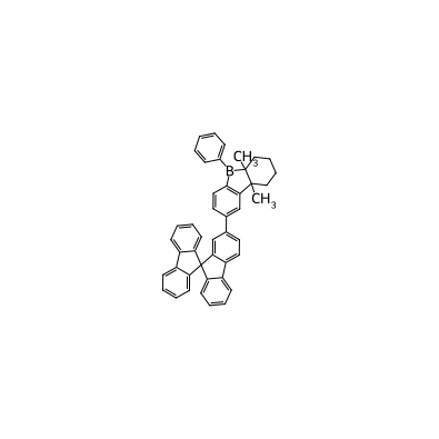 CC12CCCCC1(C)c1cc(-c3ccc4c(c3)C3(c5ccccc5-c5ccccc53)c3ccccc3-4)ccc1B2c1ccccc1